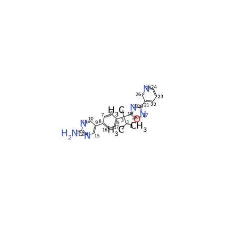 CC(C)C(C)(c1ccc(-c2cnc(N)nc2)cc1)c1nc(-c2cccnc2)no1